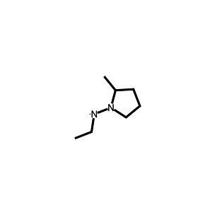 CC[N]N1CCCC1C